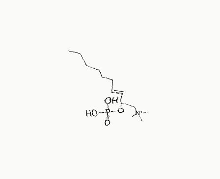 CCCCCCC=CC(C[N+](C)(C)C)OP(=O)(O)O